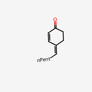 CCCCCC=C1C=CC(=O)CC1